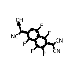 C#C/C(C#N)=c1\cc(F)c2c(F)c(=C(C#N)C#N)c(F)c(F)c2c1F